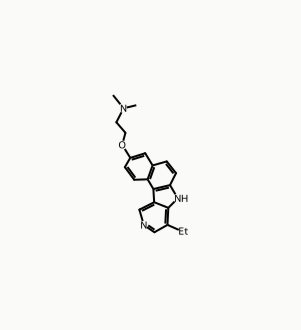 CCc1cncc2c1[nH]c1ccc3cc(OCCN(C)C)ccc3c12